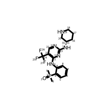 CP(C)(=O)c1ccccc1Nc1nc(N[C@H]2CCCNC2)ncc1C(F)(F)F